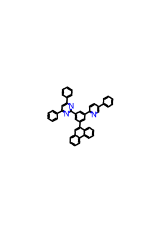 c1ccc(-c2ccc(-c3cc(-c4nc(-c5ccccc5)cc(-c5ccccc5)n4)cc(-c4cc5ccccc5c5ccccc45)c3)nc2)cc1